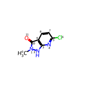 Cn1[nH]c2nc(Cl)ccc2c1=O